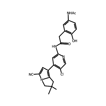 CC(=O)Nc1ccc(O)c(CC(=O)Nc2cc(-c3cc(C#N)n4c3CC(C)(C)C4)c(Cl)cn2)c1